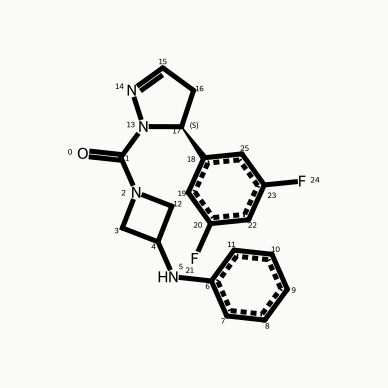 O=C(N1CC(Nc2ccccc2)C1)N1N=CC[C@H]1c1cc(F)cc(F)c1